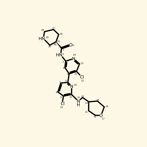 O=C(Nc1cc(-c2ccc(Cl)c(NCC3CCOCC3)n2)c(Cl)cn1)[C@@H]1CCCNC1